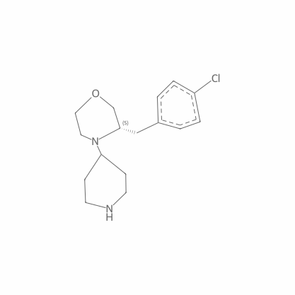 Clc1ccc(C[C@H]2COCCN2C2CCNCC2)cc1